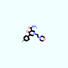 NC(=O)c1cn(CCN2CCOCC2)cc(-c2ccc(F)cc2)c1=O